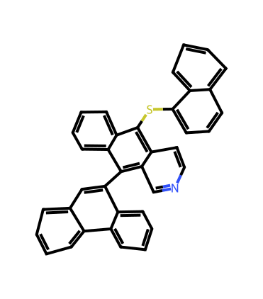 c1ccc2c(Sc3c4ccccc4c(-c4cc5ccccc5c5ccccc45)c4cnccc34)cccc2c1